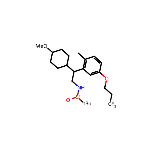 COC1CCC(C(CN[S+]([O-])C(C)(C)C)c2cc(OCCC(F)(F)F)ccc2C)CC1